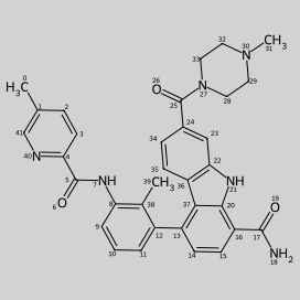 Cc1ccc(C(=O)Nc2cccc(-c3ccc(C(N)=O)c4[nH]c5cc(C(=O)N6CCN(C)CC6)ccc5c34)c2C)nc1